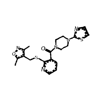 Cc1noc(C)c1CSc1ncccc1C(=O)N1CCN(c2nccs2)CC1